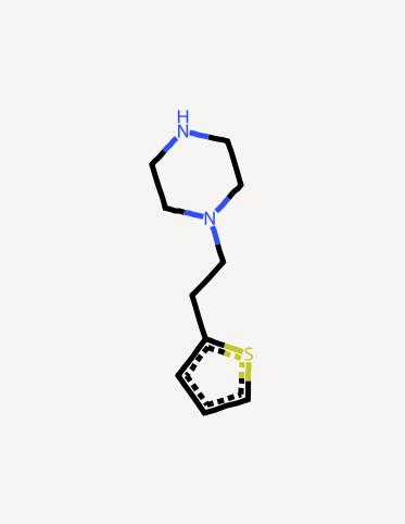 c1csc(CCN2CCNCC2)c1